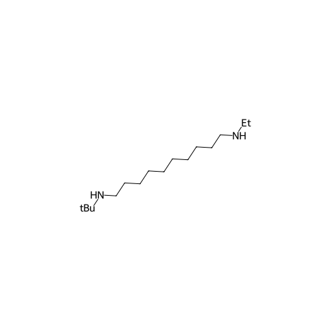 CCNCCCCCCCCCCNC(C)(C)C